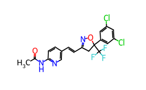 CC(=O)Nc1ccc(/C=C/C2=NOC(c3cc(Cl)cc(Cl)c3)(C(F)(F)F)C2)cn1